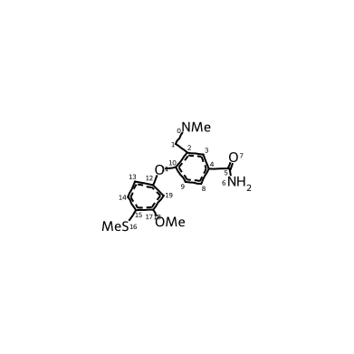 CNCc1cc(C(N)=O)ccc1Oc1ccc(SC)c(OC)c1